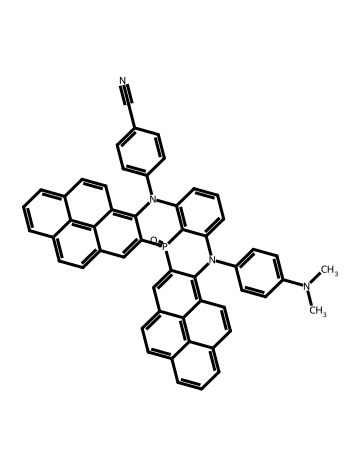 CN(C)c1ccc(N2c3cccc4c3P(=O)(c3cc5ccc6cccc7ccc(c3N4c3ccc(C#N)cc3)c5c67)c3cc4ccc5cccc6ccc(c32)c4c56)cc1